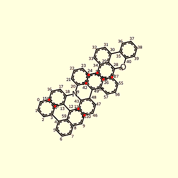 c1ccc(-c2cccc3cccc(-c4ccccc4N(c4cccc(-c5ccc6c7c(cccc57)-c5ccccc5O6)c4)c4ccccc4-c4cccc5ccccc45)c23)cc1